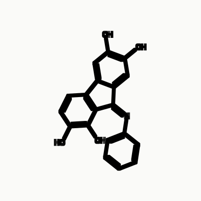 Oc1cc2c(cc1O)-c1ccc(O)c(O)c1C2=Nc1ccccc1